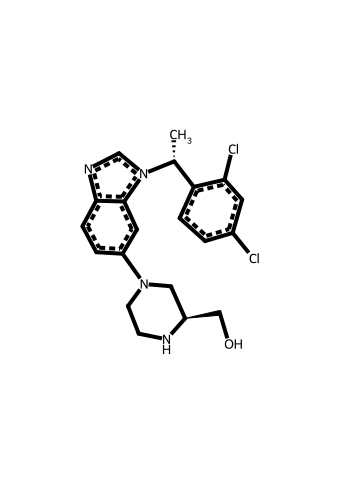 C[C@H](c1ccc(Cl)cc1Cl)n1cnc2ccc(N3CCN[C@H](CO)C3)cc21